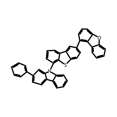 c1ccc(-c2ccc3c4ccccc4n(-c4cccc5c4sc4ccc(-c6cccc7oc8ccccc8c67)cc45)c3c2)cc1